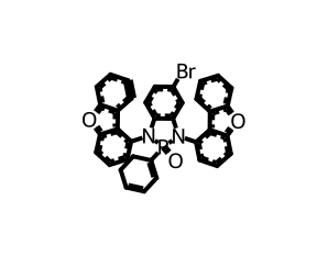 O=P1(C2=CC=CCC2)N(c2cccc3oc4ccc#cc4c23)c2ccc(Br)cc2N1c1cccc2oc3ccccc3c12